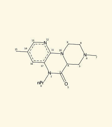 CCCN1C(=O)C2CN(C)CCN2c2ncc(C)cc21